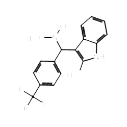 Cc1[nH]c2ccccc2c1C(c1ccc(C(F)(F)F)cc1)N(C)C